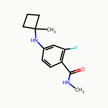 CNC(=O)c1ccc(NC2(C)CCC2)cc1F